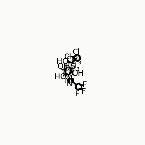 CC(C)(O)C(S[C@@H]1O[C@H](CO)[C@H](O)[C@H](n2cc(-c3cc(F)c(F)c(F)c3)nn2)[C@H]1O)c1cccc(Cl)c1Cl